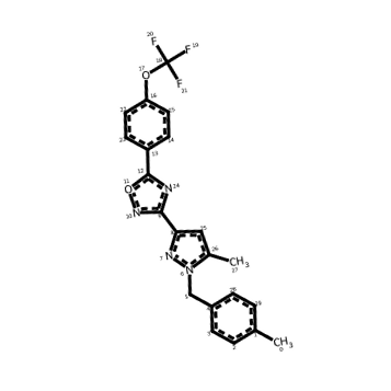 Cc1ccc(Cn2nc(-c3noc(-c4ccc(OC(F)(F)F)cc4)n3)cc2C)cc1